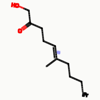 C/C(=C\CCC(=O)CO)CCCC(C)C